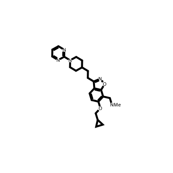 CNCc1c(OCC2CC2)ccc2c(CCC3CCN(c4ncccn4)CC3)noc12